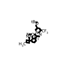 CC1CC(c2cccc(-c3cnc4c(C(F)(F)F)cc(COC(C)(C)C)cn4c3=O)c2)(c2nncn2C)C1